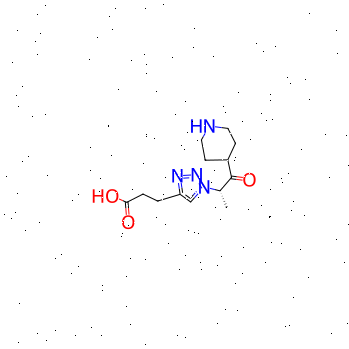 C[C@@H](C(=O)C1CCNCC1)n1cc(CCC(=O)O)nn1